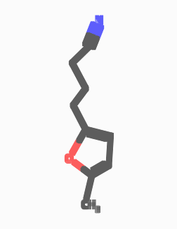 Cc1ccc(CCCC#N)o1